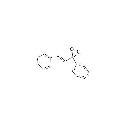 C(=CC1(c2ccccc2)OO1)c1ccccc1